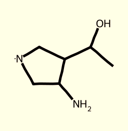 CC(O)C1C[N]CC1N